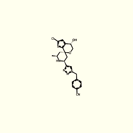 C[C@H]1C[C@@]2(C[C@@H](c3cn(Cc4ccc(C#N)cc4)nn3)N1)OC[C@@H](O)c1cc(Cl)sc12